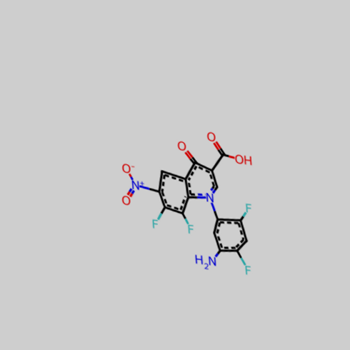 Nc1cc(-n2cc(C(=O)O)c(=O)c3cc([N+](=O)[O-])c(F)c(F)c32)c(F)cc1F